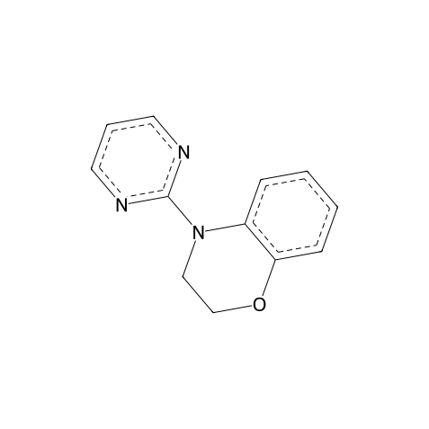 c1cnc(N2CCOc3ccccc32)nc1